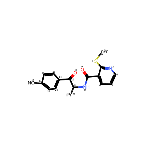 CCCSc1ncccc1C(=O)NC(C(=O)c1ccc(C#N)cc1)C(C)C